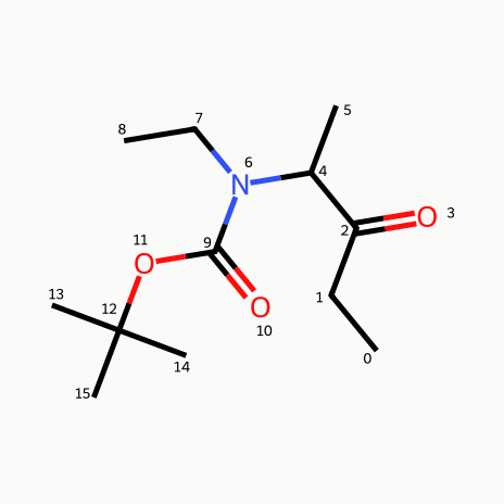 CCC(=O)C(C)N(CC)C(=O)OC(C)(C)C